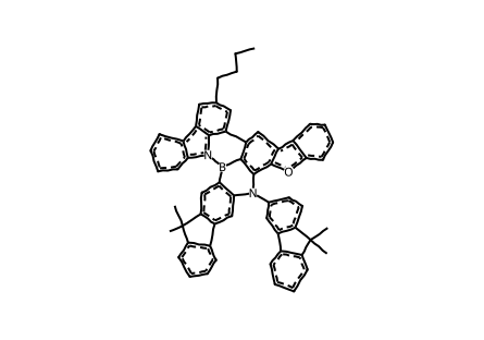 CCCCc1cc2c3c(c1)c1ccccc1n3B1c3cc4c(cc3N(c3ccc5c(c3)-c3ccccc3C5(C)C)c3c1c-2cc1c3oc2ccccc21)-c1ccccc1C4(C)C